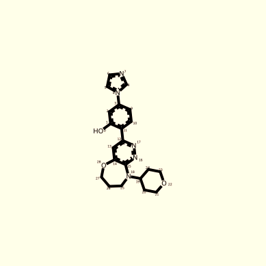 Oc1cc(-n2ccnc2)ccc1-c1cc2c(nn1)N(C1CCOCC1)CCCO2